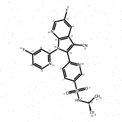 C[C@H](NS(=O)(=O)c1ccc(-c2c(C#N)c3cc(F)cnc3n2-c2cc(F)ccn2)nc1)C(F)(F)F